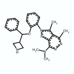 Cc1nnc(N(C)C)c2nn(-c3ccccc3OC(c3ccccc3)C3CNC3)c(C)c12